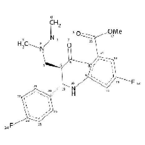 C=NN(C)C[C@H]1C(=O)c2c(cc(F)cc2C(=O)OC)N[C@@H]1c1ccc(F)cc1